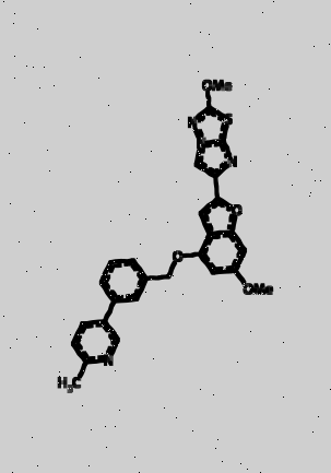 COc1cc(OCc2cccc(-c3ccc(C)nc3)c2)c2cc(-c3cn4nc(OC)sc4n3)oc2c1